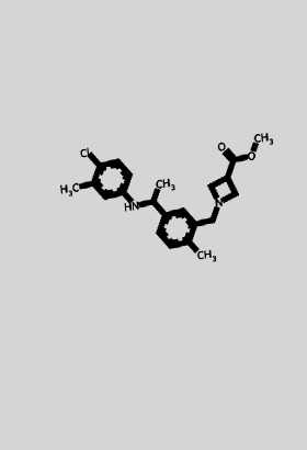 COC(=O)C1CN(Cc2cc(C(C)Nc3ccc(Cl)c(C)c3)ccc2C)C1